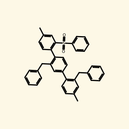 Cc1ccc(-c2ccc(-c3ccc(C)cc3S(=O)(=O)c3ccccc3)c(Cc3ccccc3)c2)c(Cc2ccccc2)c1